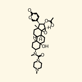 CC(=O)O[C@H]1[C@H]2O[C@]23[C@@H]2CC[C@]4(O)C[C@@H](N(C)C(=O)N5CCN(C)CC5)CC[C@]4(C)[C@H]2CC[C@]3(C)[C@H]1c1ccc(=O)oc1